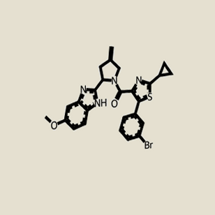 C=C1CC(c2nc3cc(OC)ccc3[nH]2)N(C(=O)c2nc(C3CC3)sc2-c2cccc(Br)c2)C1